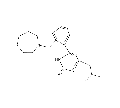 CC(C)Cc1cc(=O)[nH]c(-c2ccccc2CN2CCCCCC2)n1